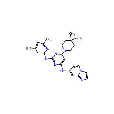 Cc1cc(C)nc(Nc2nc(Nc3ccn4ccnc4c3)cc(N3CCC(C)(C)CC3)n2)c1